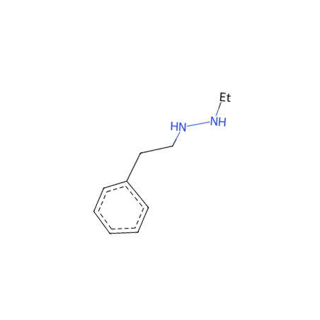 CCNNCCc1ccccc1